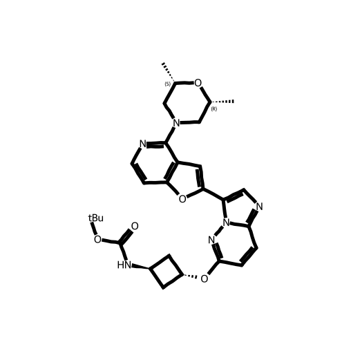 C[C@@H]1CN(c2nccc3oc(-c4cnc5ccc(O[C@H]6C[C@H](NC(=O)OC(C)(C)C)C6)nn45)cc23)C[C@H](C)O1